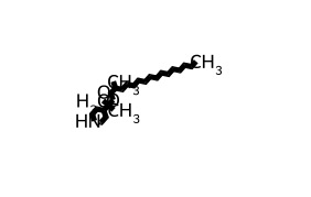 CCCCCCCCCCCCCCC(C)C(=O)OC(C)(C)C1CCNCC1